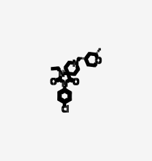 CCN1C(=O)N(c2ccc(Cl)cc2)C(=O)C12CCN(C[C@H]1CCO[C@@H](C)C1)CC2